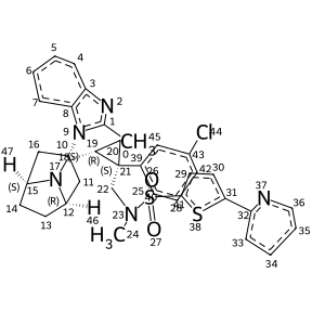 Cc1nc2ccccc2n1[C@@H]1C[C@H]2CC[C@@H](C1)N2C[C@@H]1C[C@@]1(CN(C)S(=O)(=O)c1ccc(-c2ccccn2)s1)c1cccc(Cl)c1